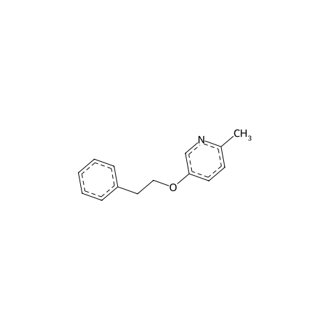 Cc1ccc(OCCc2ccccc2)cn1